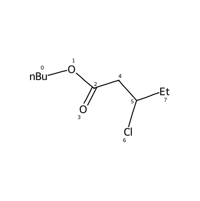 CCCCOC(=O)CC(Cl)CC